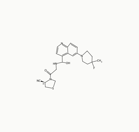 CC1(F)CCN(c2ccc3nccc(C(O)NCC(=O)N4CSC[C@H]4C#N)c3c2)CC1